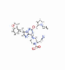 CN1CCCC1COc1nc(N2CCN(C(=O)O)C(CC#N)C2)c2ncc(Cc3cccc4c3CCO4)n2n1